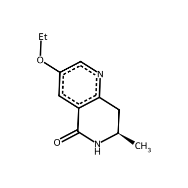 CCOc1cnc2c(c1)C(=O)N[C@H](C)C2